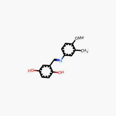 [CH2]c1cc(N=Cc2cc(O)ccc2O)ccc1OC